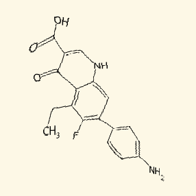 CCc1c(F)c(-c2ccc(N)cc2)cc2[nH]cc(C(=O)O)c(=O)c12